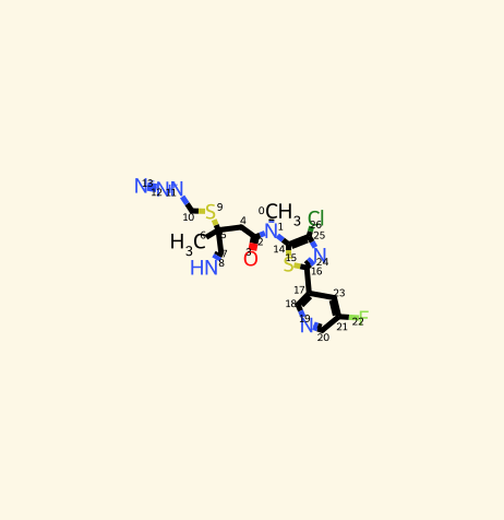 CN(C(=O)CC(C)(C=N)SCN=[N+]=[N-])c1sc(-c2cncc(F)c2)nc1Cl